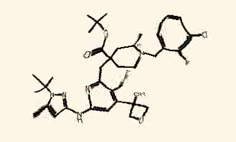 Cc1cc(Nc2cc(C3(O)COC3)c(F)c(CC3(C(=O)OC(C)(C)C)CCN(Cc4cccc(Cl)c4F)[C@H](C)C3)n2)nn1C(C)(C)C